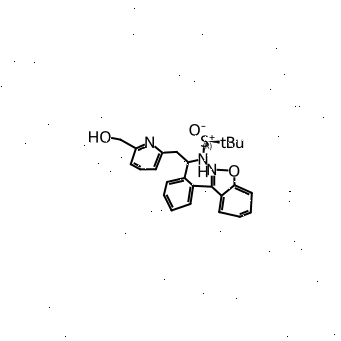 CC(C)(C)[S@+]([O-])NC(Cc1cccc(CO)n1)c1ccccc1-c1noc2ccccc12